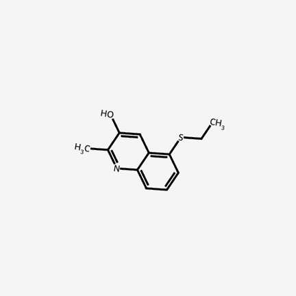 CCSc1cccc2nc(C)c(O)cc12